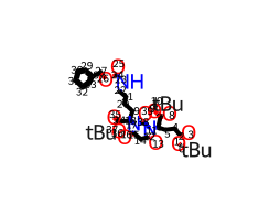 CC(C)(C)OC(=O)CCC(C(=O)OC(C)(C)C)N1C(=O)CC(=O)N(C(CCCCNC(=O)OCc2ccccc2)C(=O)OC(C)(C)C)C1=O